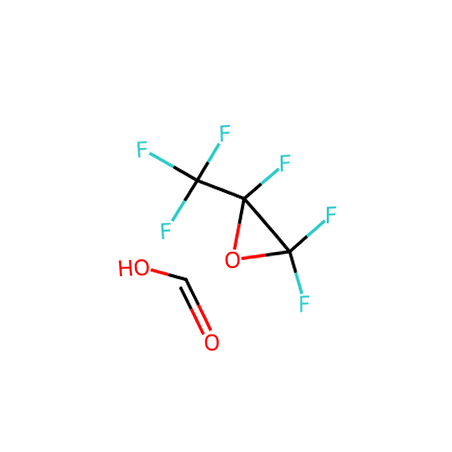 FC(F)(F)C1(F)OC1(F)F.O=CO